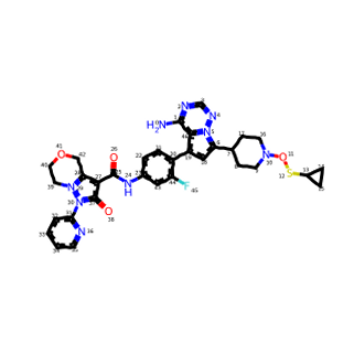 Nc1ncnn2c(C3CCN(OSC4CC4)CC3)cc(-c3ccc(NC(=O)c4c5n(n(-c6ccccn6)c4=O)CCOC5)cc3F)c12